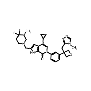 C[C@H]1CN(Cc2cc3c(C4CC4)cn(-c4cccc(C5(Cc6nncn6C)COC5)c4)c(=O)c3[nH]2)CCC1(F)F